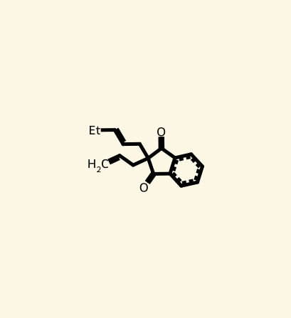 C=CCC1(CC=CCC)C(=O)c2ccccc2C1=O